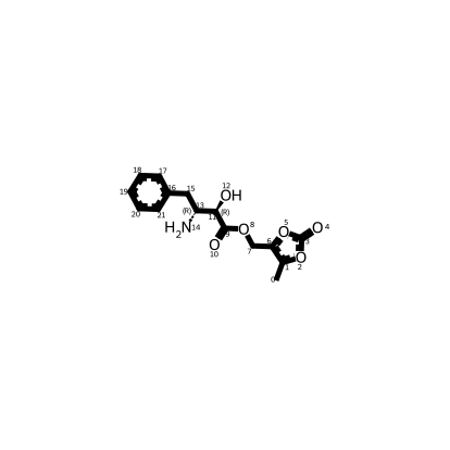 Cc1oc(=O)oc1COC(=O)[C@H](O)[C@H](N)Cc1ccccc1